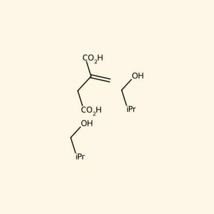 C=C(CC(=O)O)C(=O)O.CC(C)CO.CC(C)CO